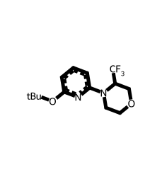 CC(C)(C)Oc1cccc(N2CCOCC2C(F)(F)F)n1